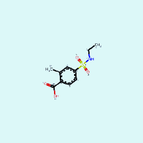 CCNS(=O)(=O)c1ccc(C(=O)O)c(C)c1